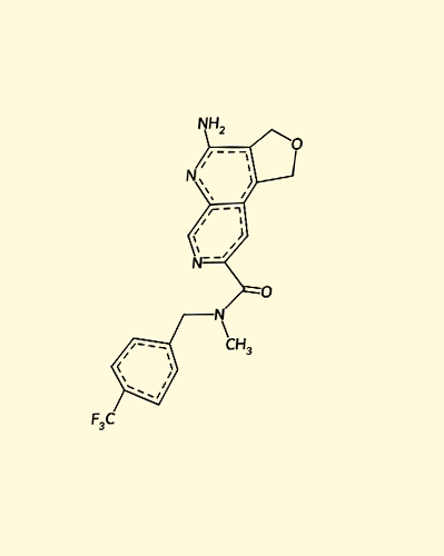 CN(Cc1ccc(C(F)(F)F)cc1)C(=O)c1cc2c3c(c(N)nc2cn1)COC3